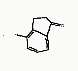 O=C1CCc2c(F)cccc21